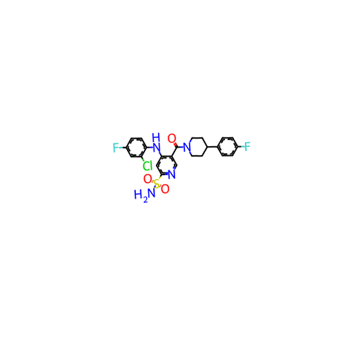 NS(=O)(=O)c1cc(Nc2ccc(F)cc2Cl)c(C(=O)N2CCC(c3ccc(F)cc3)CC2)cn1